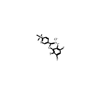 C[N+](C)(C)c1ccc(C(=O)Oc2c(F)c(F)cc(F)c2F)cn1.[Cl-]